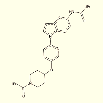 CC(C)C(=O)Nc1ccc2c(ccn2-c2ccc(OC3CCN(C(=O)C(C)C)CC3)cn2)c1